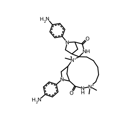 C[N+]1(C)CCCCCC2(NC(=O)C3CC2CN3c2ccc(N)cc2)[N+](C)(C)C2CC(C(=O)N1)N(c1ccc(N)cc1)C2